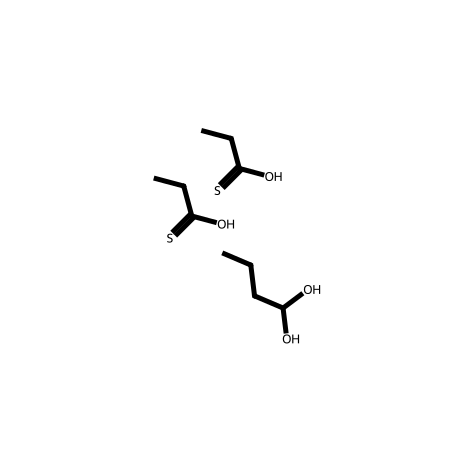 CCC(O)=S.CCC(O)=S.CCCC(O)O